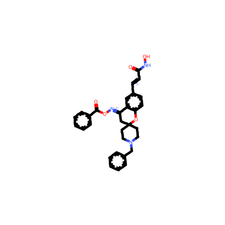 O=C(/C=C/c1ccc2c(c1)/C(=N/OC(=O)c1ccccc1)CC1(CCN(Cc3ccccc3)CC1)O2)NO